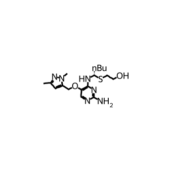 CCCC[C@@H](Nc1nc(N)ncc1OCc1cc(C)nn1C)SCCO